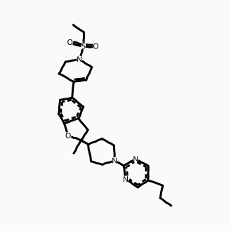 CCCc1cnc(N2CCC(C3(C)Cc4cc(C5=CCN(S(=O)(=O)CC)CC5)ccc4O3)CC2)nc1